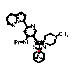 CC(C)Nc1cc(-c2ccc3cccnn23)ncc1-c1nnc(N2C3CC2CN(C(=O)N2CCN(C)CC2)C3)s1